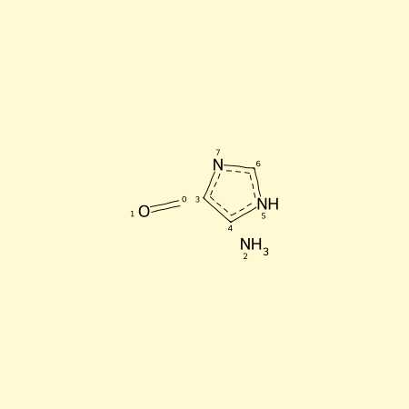 C=O.N.c1c[nH]cn1